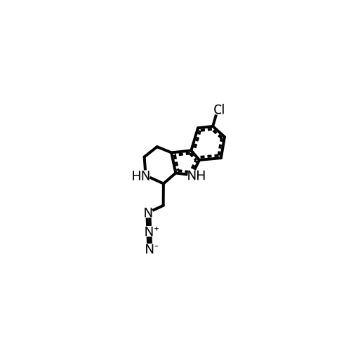 [N-]=[N+]=NCC1NCCc2c1[nH]c1ccc(Cl)cc21